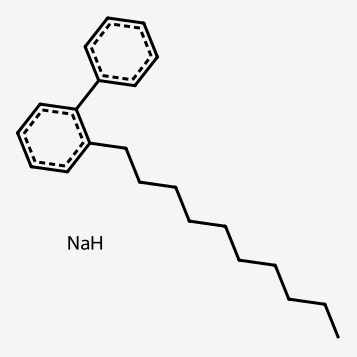 CCCCCCCCCCc1ccccc1-c1ccccc1.[NaH]